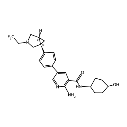 Nc1ncc(-c2ccc([C@]34C[C@H]3CN(CC(F)(F)F)C4)cc2)cc1C(=O)NC1CCC(O)CC1